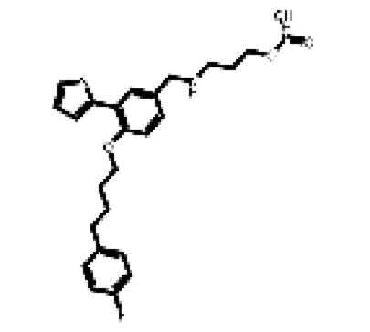 O=[PH](O)OCCCNCc1ccc(OCCCCc2ccc(F)cc2)c(-c2cccs2)c1